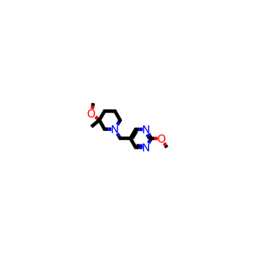 COc1ncc(CN2CCCC(C)(OC)C2)cn1